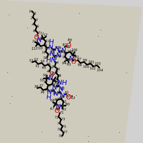 CCCCCCCCON1C(C)(C)CC(C(CCC)Nc2nc(NCCCCCCNc3nc(NC(CCC)C4CC(C)(C)N(OCCCCCCCC)C(C)(C)C4)nc(N(COC)C4CC(C)(C)N(OCCCCCCCC)C(C)(C)C4)n3)nc(N(COC)C3CC(C)(C)N(OCCCCCCCC)C(C)(C)C3)n2)CC1(C)C